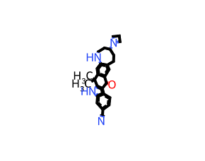 CC1(C)c2cc3c(cc2C(=O)c2c1[nH]c1cc(C#N)ccc21)CCC(N1CCC1)CCN3